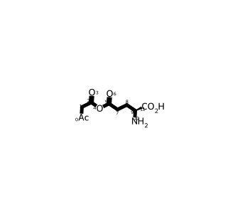 CC(=O)CC(=O)OC(=O)CC[C@H](N)C(=O)O